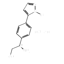 CCn1nccc1-c1ccc([C@@H](N)CO)cc1.Cl.Cl